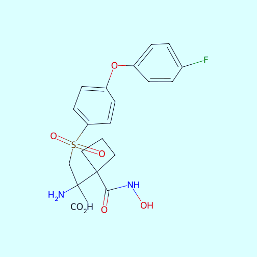 NC(CS(=O)(=O)c1ccc(Oc2ccc(F)cc2)cc1)(C(=O)O)C1(C(=O)NO)CCC1